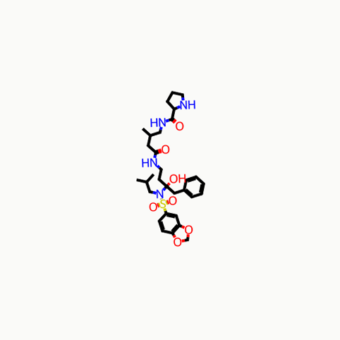 CC(C)CN(C(O)(CCNC(=O)CC(C)CNC(=O)C1CCCN1)Cc1ccccc1)S(=O)(=O)c1ccc2c(c1)OCO2